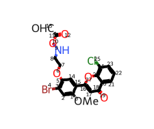 COc1cc(Br)c(OCCNOC(=O)C=O)cc1-c1cc(=O)c2cccc(Cl)c2o1